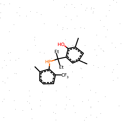 CCC(CC)(Pc1c(C)cccc1C(F)(F)F)c1cc(C)cc(C)c1O